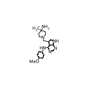 COc1ccc(Nc2ncnc3[nH]cc(CN4CCC(C)(N)CC4)c23)cc1